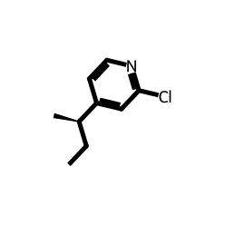 CC[C@@H](C)c1ccnc(Cl)c1